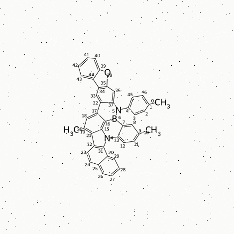 Cc1ccc(N2B3c4cc(C)ccc4-n4c5c3c(cc(C)c5c3ccc5ccccc5c34)-c3cc4c(cc32)oc2ccccc24)cc1